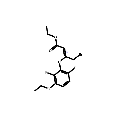 CCOC(=O)/C=C(/CBr)Oc1c(F)ccc(OCC)c1F